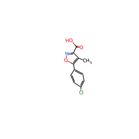 Cc1c(C(=O)O)noc1-c1ccc(Cl)cc1